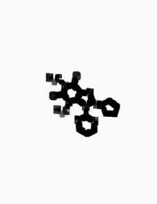 Cn1c(=O)c2nc([SH]3C=CC=C3)n(-c3ncccn3)c2n(C)c1=O